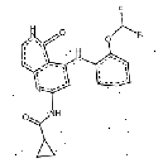 O=C(Nc1cc(Nc2ccccc2OC(F)F)c2c(=O)[nH]ccc2n1)C1CC1